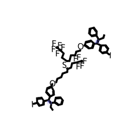 CC/C(=C(\c1ccc(I)cc1)c1ccc(OCCCCCC(CCC(F)(F)C(F)(F)F)SC(CCCCCOc2ccc(/C(=C(/CC)c3ccccc3)c3ccc(I)cc3)cc2)CCC(F)(F)C(F)(F)F)cc1)c1ccccc1